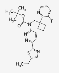 CCc1cnc(-c2ccc(N(CC3(c4ncccc4F)CCC3)C(=O)OC(C)(C)C)nn2)s1